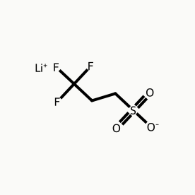 O=S(=O)([O-])CCC(F)(F)F.[Li+]